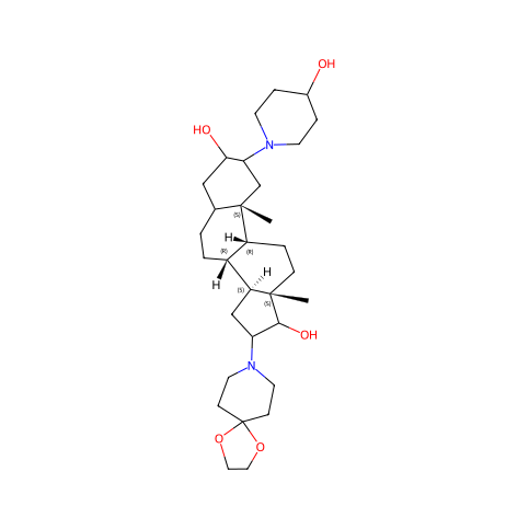 C[C@]12CC(N3CCC(O)CC3)C(O)CC1CC[C@@H]1[C@H]2CC[C@]2(C)C(O)C(N3CCC4(CC3)OCCO4)C[C@@H]12